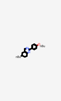 CCCCOc1ccc(-c2ncc3c(n2)CCC(CCCC)C3)cc1